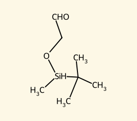 C[SiH](OCC=O)C(C)(C)C